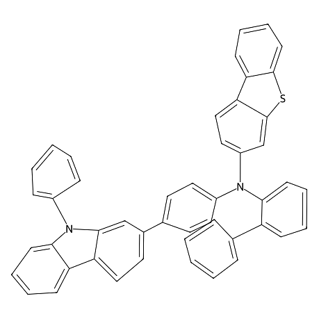 c1ccc(-c2ccccc2N(c2ccc(-c3ccc4c5ccccc5n(-c5ccccc5)c4c3)cc2)c2ccc3c(c2)sc2ccccc23)cc1